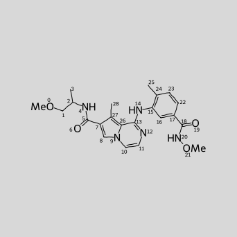 COCC(C)NC(=O)c1cn2ccnc(Nc3cc(C(=O)NOC)ccc3C)c2c1C